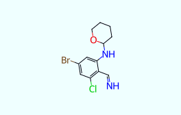 N=Cc1c(Cl)cc(Br)cc1NC1CCCCO1